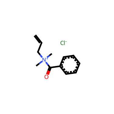 C=CC[N+](C)(C)C(=O)c1ccccc1.[Cl-]